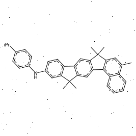 Cc1cc2c(c3ccccc13)-c1cc3c(cc1C2(C)C)-c1ccc(Nc2ccc(C(C)C)cc2)cc1C3(C)C